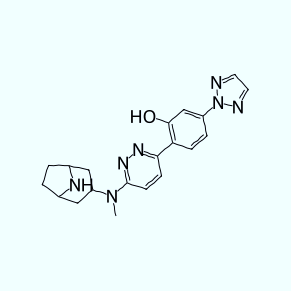 CN(c1ccc(-c2ccc(-n3nccn3)cc2O)nn1)C1CC2CCC(C1)N2